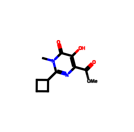 COC(=O)c1nc(C2CCC2)n(C)c(=O)c1O